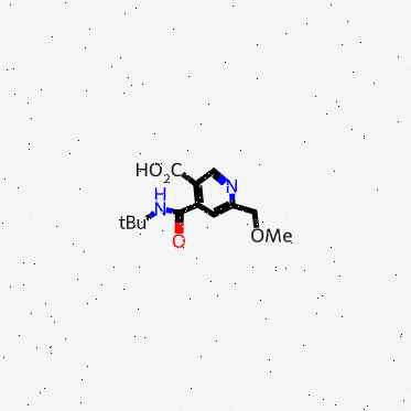 COCc1cc(C(=O)NC(C)(C)C)c(C(=O)O)cn1